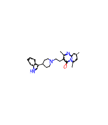 Cc1cc(C)n2c(=O)c(CCN3CCC(c4c[nH]c5ccccc45)CC3)c(C)nc2c1